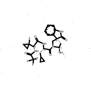 N[C@@H]1C[C@@]2(CN1C(=O)[C@H](CC1CC1)NC(=O)[C@H](NC(=O)C(F)(F)F)C1(F)CC1)C(=O)Nc1ccccc12